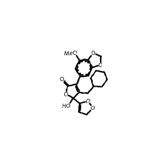 COc1cc(C2=C(CC3CCCCC3)C(O)(C3=CCOO3)OC2=O)cc2c1OCO2